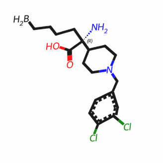 BCCCC[C@](N)(C(=O)O)C1CCN(Cc2ccc(Cl)c(Cl)c2)CC1